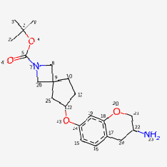 CC(C)(C)OC(=O)N1CC2(CCC(Oc3ccc4c(c3)OCC(N)C4)C2)C1